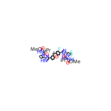 COC(=O)N[C@H](C(=O)N1C2CCC(C2)C1c1nc(-c2ccc3c(c2)C(C)(C)c2cc(F)c(-c4cnc([C@@H]5CC(F)(F)CN5C(=O)[C@@H](NC(=O)OC)C(C)C)[nH]4)cc2O3)c[nH]1)C(C)C